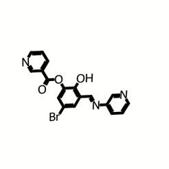 O=C(Oc1cc(Br)cc(C=Nc2cccnc2)c1O)c1cccnc1